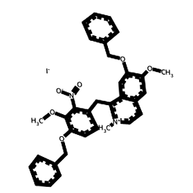 COc1cc2cc[n+](C)c(Cc3ccc(OCc4ccccc4)c(OC)c3[N+](=O)[O-])c2cc1OCc1ccccc1.[I-]